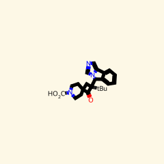 CC(C)(C)C1(C2c3ccccc3-c3cncn32)CC2(CCN(C(=O)O)CC2)C1=O